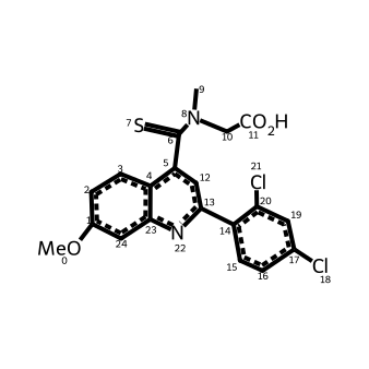 COc1ccc2c(C(=S)N(C)CC(=O)O)cc(-c3ccc(Cl)cc3Cl)nc2c1